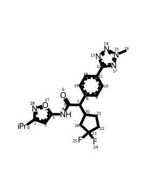 CC(C)c1cc(NC(=O)C(c2ccc(-c3nnn(C)n3)cc2)C2CCC(F)(F)C2)on1